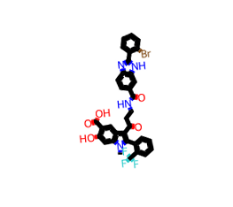 Cn1c(-c2ccccc2C(F)(F)F)c(C(=O)CCNC(=O)c2ccc3nc(-c4ccccc4Br)[nH]c3c2)c2cc(C(=O)O)c(O)cc21